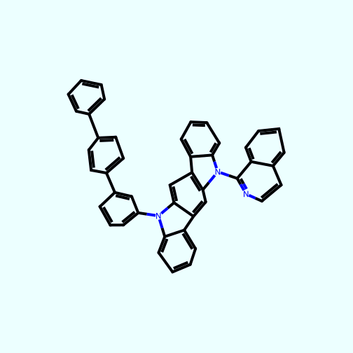 c1ccc(-c2ccc(-c3cccc(-n4c5ccccc5c5cc6c(cc54)c4ccccc4n6-c4nccc5ccccc45)c3)cc2)cc1